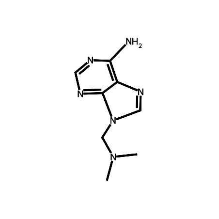 CN(C)Cn1cnc2c(N)ncnc21